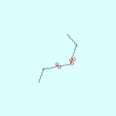 CCCCCCCC/C=C\CCCCCCCC(=O)OCCCCCCC1OC1OC(=O)CCCCCCC/C=C\CCCCCCCC